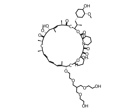 CO[C@@H]1C[C@H](C[C@@H](C)[C@@H]2CC(=O)[C@H](C)/C=C(\C)[C@@H](O)[C@@H](OC)C(=O)[C@H](C)C[C@H](C)/C=C/C=C/C=C(\C)[C@@H](OCCOCC(COCCO)COCCO)C[C@@H]3CC[C@@H](C)[C@@](O)(O3)C(=O)C(=O)N3CCCC[C@H]3C(=O)O2)CC[C@H]1O